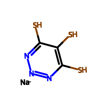 Sc1nnnc(S)c1S.[Na]